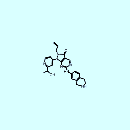 C=CCn1c(=O)c2cnc(Nc3ccc4c(c3)CNCC4)nc2n1-c1ccnc(C(C)O)c1